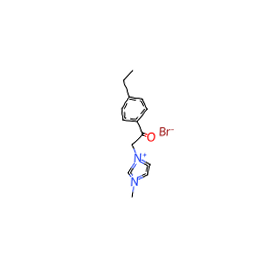 CCc1ccc(C(=O)C[n+]2ccn(C)c2)cc1.[Br-]